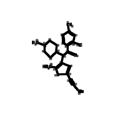 Cc1ccc(C(=O)N(c2cc(C#CC(C)(C)C)sc2C(=O)O)C2CCN(C)CC2)c(Cl)c1